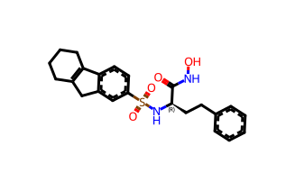 O=C(NO)[C@@H](CCc1ccccc1)NS(=O)(=O)c1ccc2c(c1)CC1=C2CCCC1